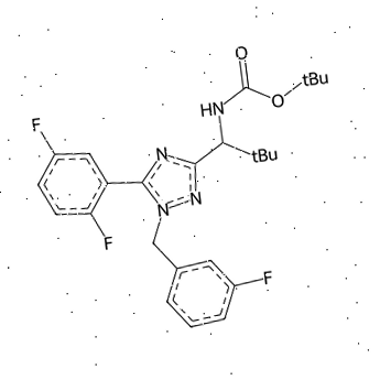 CC(C)(C)OC(=O)NC(c1nc(-c2cc(F)ccc2F)n(Cc2cccc(F)c2)n1)C(C)(C)C